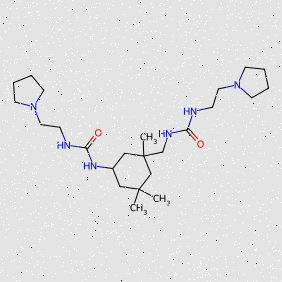 CC1(C)CC(NC(=O)NCCN2CCCC2)CC(C)(CNC(=O)NCCN2CCCC2)C1